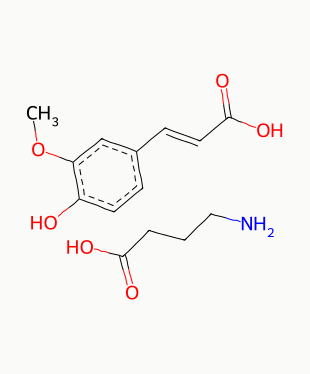 COc1cc(/C=C/C(=O)O)ccc1O.NCCCC(=O)O